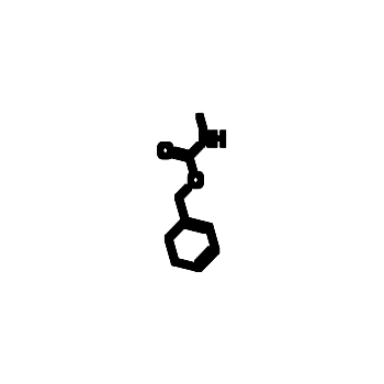 CNC(=O)OCC1=CC=CCC1